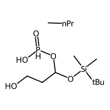 CC(C)(C)[Si](C)(C)OC(CCO)O[PH](=O)O.CCCC